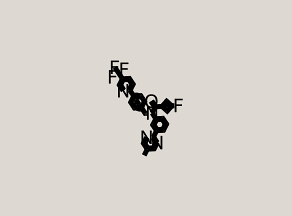 Cc1cnc(-c2cccc(N(CC34CCC(c5ccc(C(F)(F)F)cn5)(CC3)CC4)C(=O)C34CC(F)(C3)C4)c2)nc1